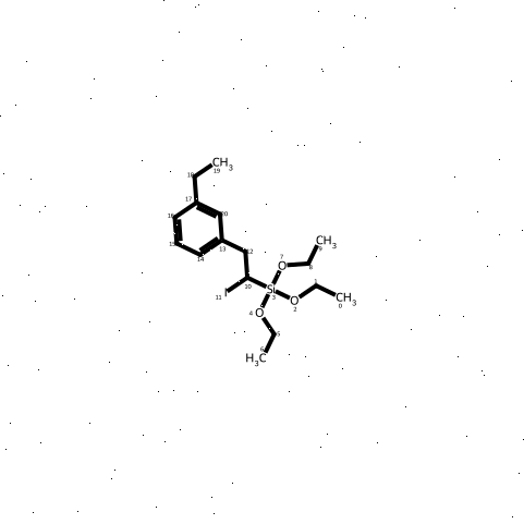 CCO[Si](OCC)(OCC)C(I)Cc1cccc(CC)c1